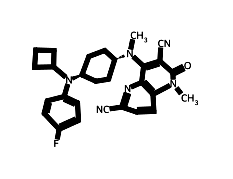 Cn1c(=O)c(C#N)c(N(C)[C@H]2CC[C@H](N(c3ccc(F)cc3)C3CCC3)CC2)c2nc(C#N)ccc21